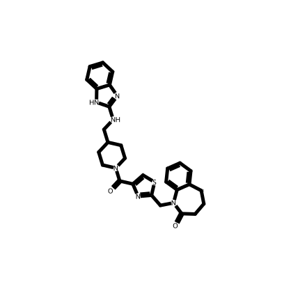 O=C(c1csc(CN2C(=O)CC[C]c3ccccc32)n1)N1CCC(CNc2nc3ccccc3[nH]2)CC1